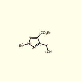 CCOC(=O)c1cn(CC)nc1CC#N